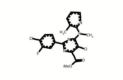 COC(=O)c1nc(-c2ccc(Cl)c(F)c2)nc(N(C)c2ncccc2C)c1Cl